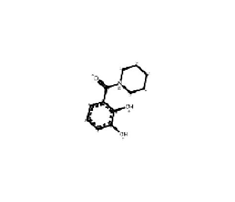 O=C(c1cccc(O)c1O)N1CCCCC1